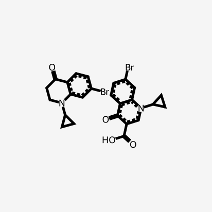 O=C(O)c1cn(C2CC2)c2cc(Br)ccc2c1=O.O=C1CCN(C2CC2)c2cc(Br)ccc21